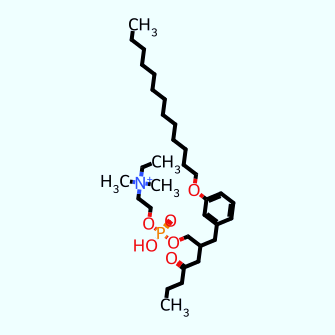 CCCCCCCCCCCCCOc1cccc(CC(COP(=O)(O)OCC[N+](C)(C)CC)CC(=O)CCC)c1